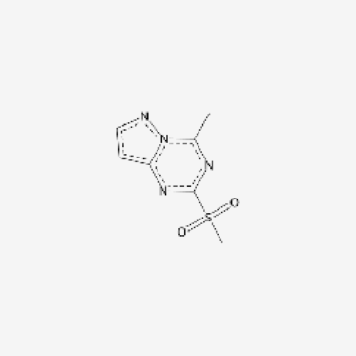 Cc1nc(S(C)(=O)=O)nc2ccnn12